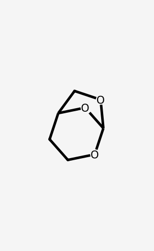 C1CC2COC(O1)O2